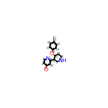 [O]c1ccnc(C2CNCCC2Oc2ccc(F)cc2)c1